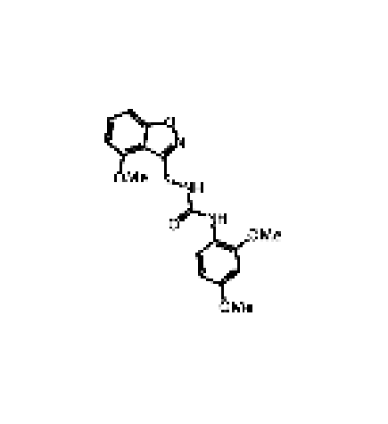 COc1ccc(NC(=O)NSc2noc3cccc(OC)c23)c(OC)c1